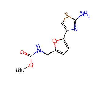 CC(C)(C)OC(=O)NCc1ccc(-c2csc(N)n2)o1